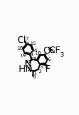 CC1Cc2c(F)cc(OC(F)(F)F)cc2C(c2ccc(Cl)cc2)=NN1